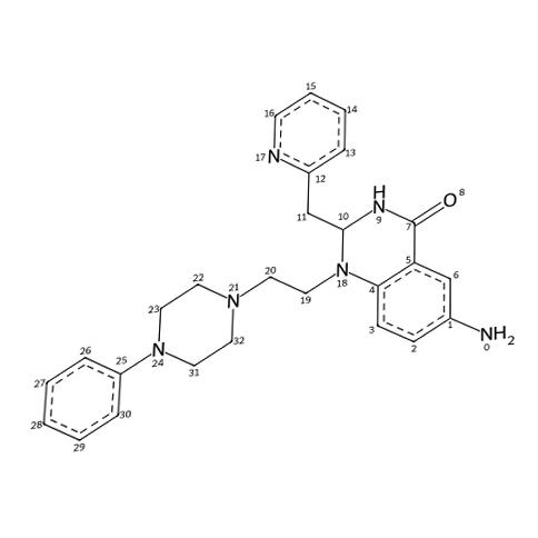 Nc1ccc2c(c1)C(=O)NC(Cc1ccccn1)N2CCN1CCN(c2ccccc2)CC1